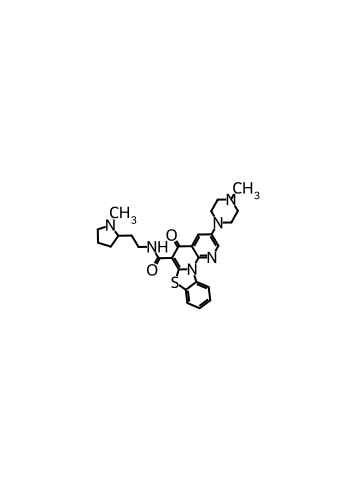 CN1CCN(c2cnc3c(c2)c(=O)c(C(=O)NCCC2CCCN2C)c2sc4ccccc4n23)CC1